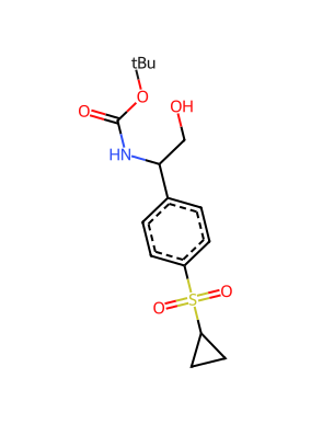 CC(C)(C)OC(=O)NC(CO)c1ccc(S(=O)(=O)C2CC2)cc1